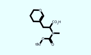 CN(C(=O)OC(C)(C)C)C(CC1=COCCC1)C(=O)O